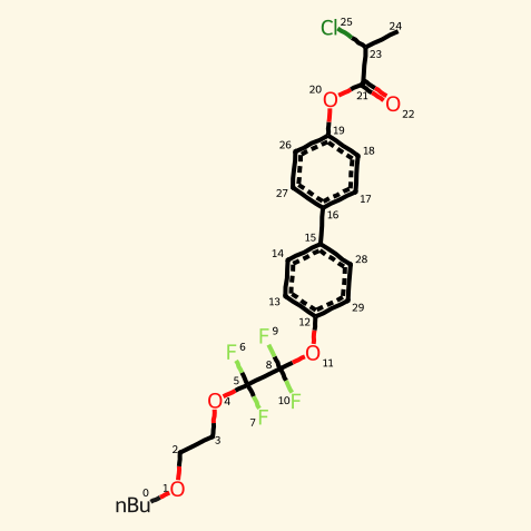 CCCCOCCOC(F)(F)C(F)(F)Oc1ccc(-c2ccc(OC(=O)C(C)Cl)cc2)cc1